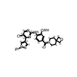 COc1cc(C(=O)N2CCC3(CC2)COC3)ccc1Nc1ncc(Cl)c(-c2cnn(C(C)C)c2)n1